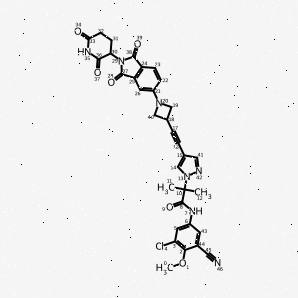 COc1c(Cl)cc(NC(=O)C(C)(C)n2cc(C#CC3CN(c4ccc5c(c4)C(=O)N(C4CCC(=O)NC4=O)C5=O)C3)cn2)cc1C#N